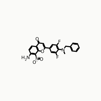 CN(Cc1ccccc1)c1c(F)cc(-c2cc(=O)c3ccc(N)c([N+](=O)[O-])c3o2)cc1F